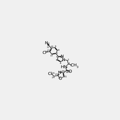 CC(Cn1ccc(-c2ccc(C#N)c(Cl)c2)n1)NC(=O)c1coc(CCl)n1